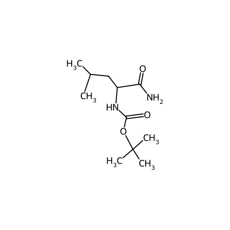 CC(C)CC(NC(=O)OC(C)(C)C)C(N)=O